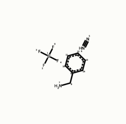 F[B-](F)(F)F.N#[NH+].NCc1ccccc1